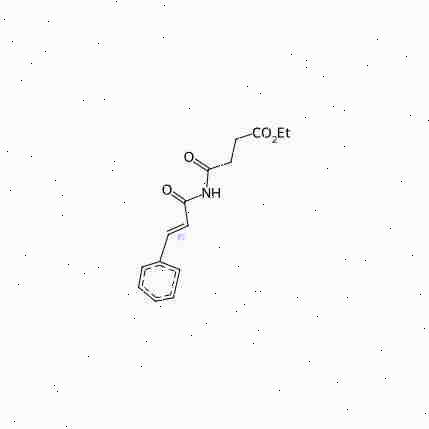 CCOC(=O)CCC(=O)NC(=O)/C=C/c1ccccc1